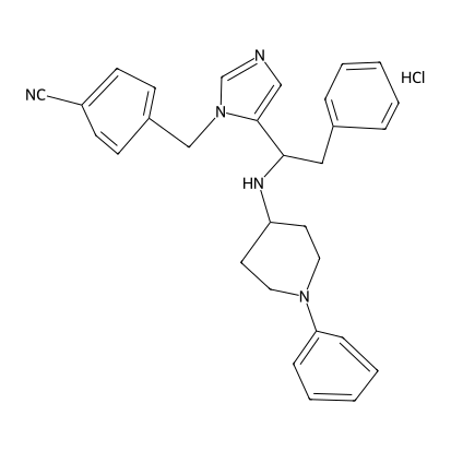 Cl.N#Cc1ccc(Cn2cncc2C(Cc2ccccc2)NC2CCN(c3ccccc3)CC2)cc1